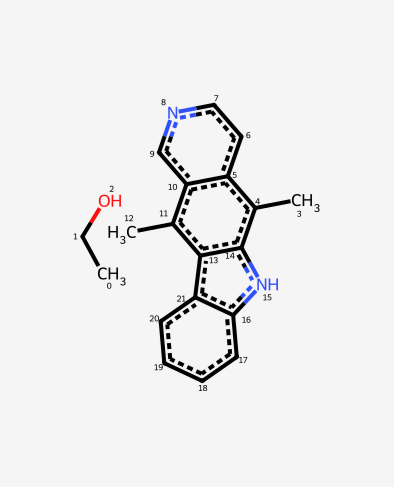 CCO.Cc1c2ccncc2c(C)c2c1[nH]c1ccccc12